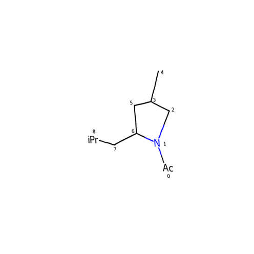 CC(=O)N1CC(C)CC1CC(C)C